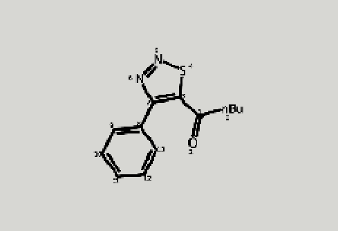 CCCCC(=O)c1snnc1-c1ccccc1